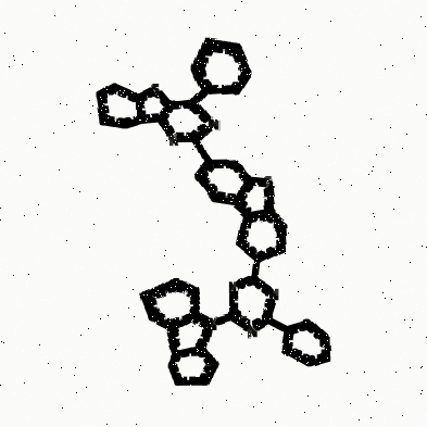 c1ccc(-c2nc(-c3ccc4sc5cc(-c6nc(-c7ccccc7)c7sc8ccccc8c7n6)ccc5c4c3)nc(-n3c4ccccc4c4ccccc43)n2)cc1